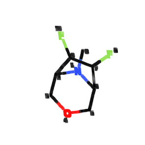 CN1C2COCC1C(F)C2F